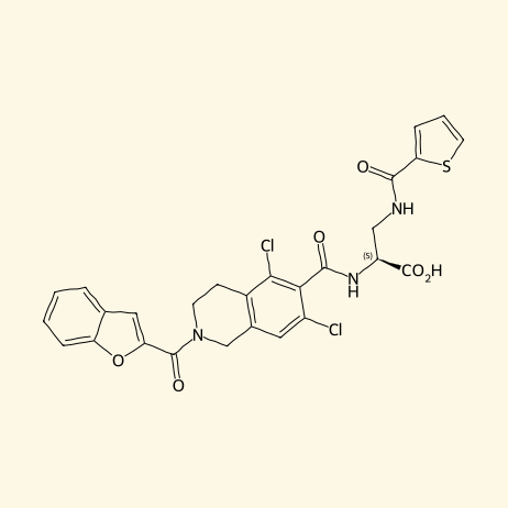 O=C(NC[C@H](NC(=O)c1c(Cl)cc2c(c1Cl)CCN(C(=O)c1cc3ccccc3o1)C2)C(=O)O)c1cccs1